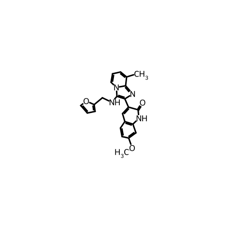 COc1ccc2cc(-c3nc4c(C)cccn4c3NCc3ccco3)c(=O)[nH]c2c1